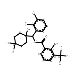 O=C(NC(c1cccc(Cl)c1Cl)C1(O)CCC(F)(F)CC1)c1nccc(C(F)(F)I)c1Cl